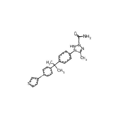 CC1=NN(C(N)=O)NN1c1ccc(C(C)(C)c2ccc(-c3ccsc3)cc2)cc1